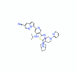 CC(C)Nc1cc(-c2ccc3cc(C#N)cnn23)ncc1-c1nnc(N2CC3CCC(C2)N3CC2CCN(c3ccccn3)CC2)s1